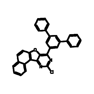 Clc1nc(-c2cc(-c3ccccc3)cc(-c3ccccc3)c2)c2oc3ccc4ccccc4c3c2n1